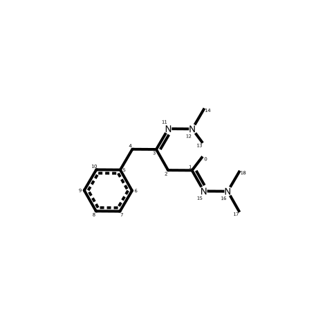 C/C(C/C(Cc1ccccc1)=N\N(C)C)=N\N(C)C